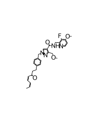 C/C=C\C=C/C(=O)CCc1ccc(Cn2cc(C(=O)NCc3nccc(OC)c3F)c(COC)n2)cc1